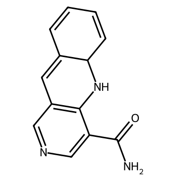 NC(=O)c1cncc2c1NC1C=CC=CC1=C2